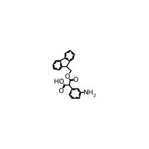 Nc1cccc(C(C(=O)O)C(=O)OCC2c3ccccc3-c3ccccc32)c1